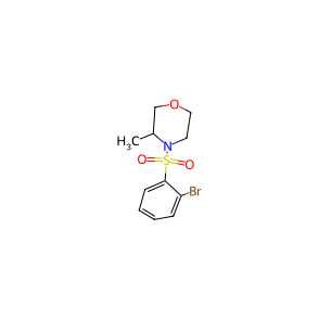 CC1COCCN1S(=O)(=O)c1ccccc1Br